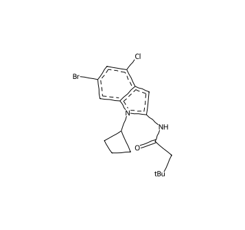 CC(C)(C)CC(=O)Nc1cc2c(Cl)cc(Br)cc2n1C1CCC1